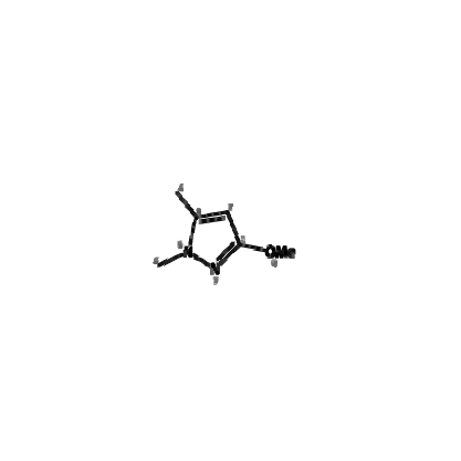 COc1cc(C)n(C)n1